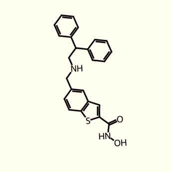 O=C(NO)c1cc2cc(CNCC(c3ccccc3)c3ccccc3)ccc2s1